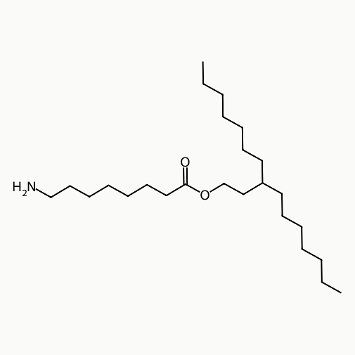 CCCCCCCC(CCCCCCC)CCOC(=O)CCCCCCCN